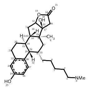 CNCCCCC[C@H]1C[C@@]2(C)[C@@H](CC3OC(=O)C[C@@]32O)[C@@H]2CCc3cc(O)ccc3[C@@H]12